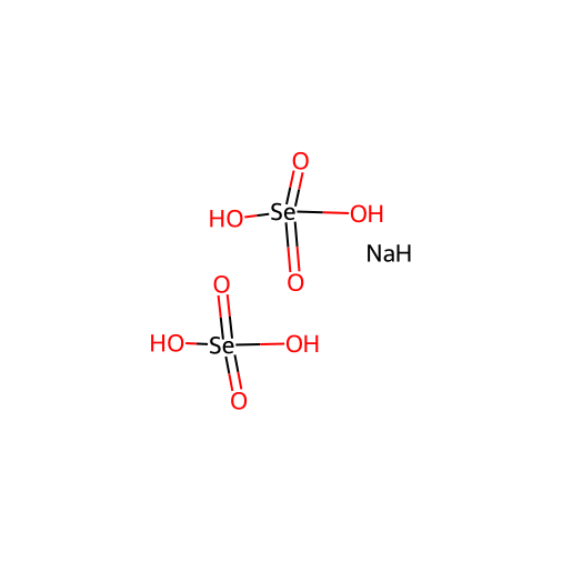 O=[Se](=O)(O)O.O=[Se](=O)(O)O.[NaH]